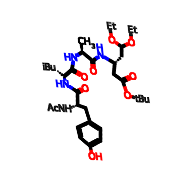 CCOC(C[C@H](CC(=O)OC(C)(C)C)NC(=O)[C@H](C)NC(=O)[C@@H](NC(=O)[C@H](Cc1ccc(O)cc1)NC(C)=O)[C@@H](C)CC)OCC